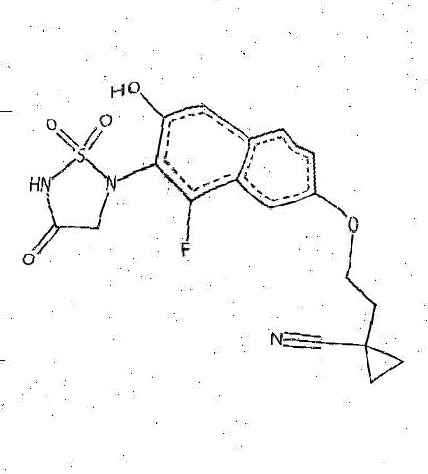 N#CC1(CCOc2ccc3cc(O)c(N4CC(=O)NS4(=O)=O)c(F)c3c2)CC1